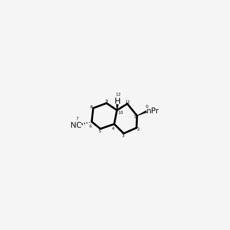 CCC[C@H]1CCC2C[C@H](C#N)CC[C@@H]2C1